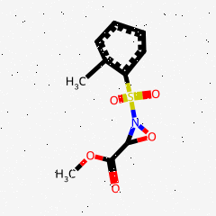 COC(=O)C1ON1S(=O)(=O)c1ccccc1C